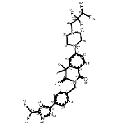 CC1(C)C(=O)N(Cc2ccc(-c3nnc(C(F)F)o3)cn2)C(=O)c2ccc(N3CCN(CC(F)(F)C(F)F)CC3)cc21